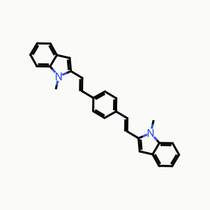 Cn1c(/C=C/c2ccc(/C=C/c3cc4ccccc4n3C)cc2)cc2ccccc21